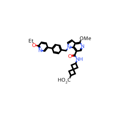 CCOc1ccc(-c2ccc(Cn3ccc4c(OC)ncc(C(=O)NC5CC6(C5)CC(C(=O)O)C6)c43)cc2)cn1